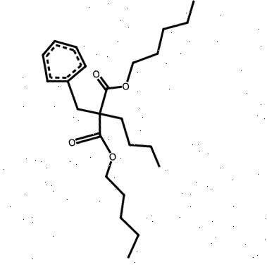 CCCCCOC(=O)C(CCCC)(Cc1ccccc1)C(=O)OCCCCC